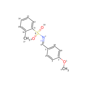 COc1ccc(/C=N/S(=O)(=O)c2ccccc2C)cc1